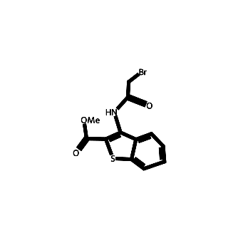 COC(=O)c1sc2ccccc2c1NC(=O)CBr